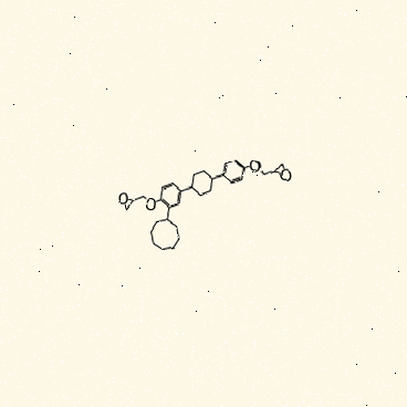 c1cc(C2CCC(c3ccc(OCC4CO4)c(C4CCCCCCC4)c3)CC2)ccc1OCC1CO1